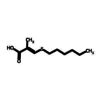 CCCCCCS/C=C(\C)C(=O)O